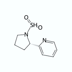 O=[SH](=O)N1CCC[C@H]1c1ccccn1